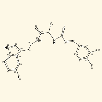 CCC(NC(=O)/C=C/c1ccc(F)c(F)c1)C(=O)NCCc1c[nH]c2ccc(F)cc12